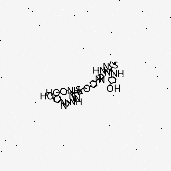 Oc1ccc(-n2cc(Nc3nc(N[C@H]4CC[C@H](O)CC4)c4sc(COc5ccc(-n6cc(Nc7nc(N[C@H]8CC[C@H](O)CC8)c8sccc8n7)cn6)cc5)cc4n3)cn2)cc1